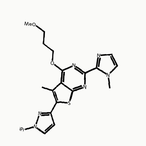 COCCCOc1nc(-c2nccn2C)nc2sc(-c3ccn(C(C)C)n3)c(C)c12